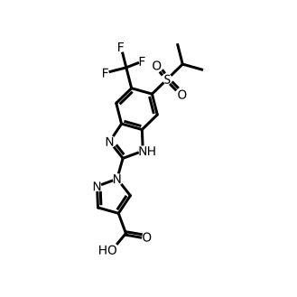 CC(C)S(=O)(=O)c1cc2[nH]c(-n3cc(C(=O)O)cn3)nc2cc1C(F)(F)F